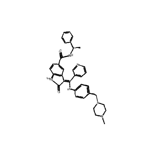 C[C@@H](NC(=O)c1ccc2c(c1)/C(=C(/Nc1ccc(CN3CCN(C)CC3)cc1)c1cccnc1)C(=O)N2)c1ccccc1